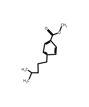 COC(=O)c1ccc(CCCC(C)C)cc1